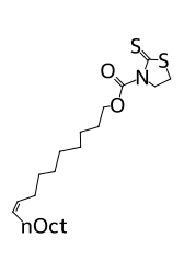 CCCCCCCC/C=C\CCCCCCCCOC(=O)N1CCSC1=S